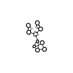 c1ccc2c(c1)-c1ccccc1C1(c3ccccc3-2)c2ccccc2-c2cc(-c3nc(-c4cccc5c4oc4ccccc45)nc(-c4cccc5c4oc4ccccc45)n3)ccc21